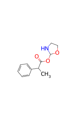 CC(C(=O)OC1NCCO1)c1ccccc1